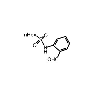 CCCCCCS(=O)(=O)Nc1ccccc1[C]=O